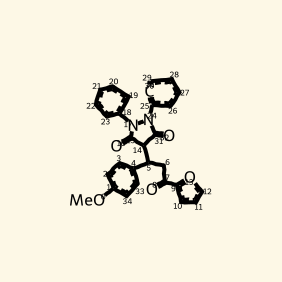 COc1ccc(C(CC(=O)c2ccco2)C2C(=O)N(c3ccccc3)N(c3ccccc3)C2=O)cc1